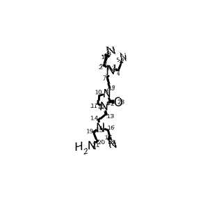 N#CCN(CC#N)CCN1CCN(CCN(CC#N)CCN)C1=O